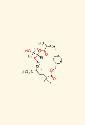 C=C(C)C(=O)OC(CC)(OCC)C(O)(CC)CC.C=C(CC=C(C)C(=O)O)C(=O)OCc1ccccc1